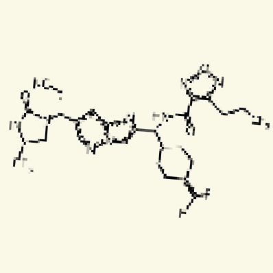 N#CC[C@H](c1cnn2cc([C@H](NC(=O)c3nonc3CCC(F)(F)F)C3CCC(=C(F)F)CC3)nc2c1)N1C[C@@H](C(F)(F)F)NC1=O